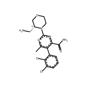 Cc1nc(N2CCOC[C@H]2CN)nc(C(N)=O)c1-c1cccc(Cl)c1Cl